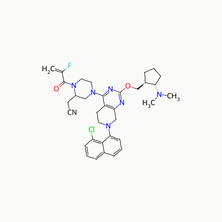 C=C(F)C(=O)N1CCN(c2nc(OC[C@H]3CCC[C@@H]3N(C)C)nc3c2CCN(c2cccc4cccc(Cl)c24)C3)CC1CC#N